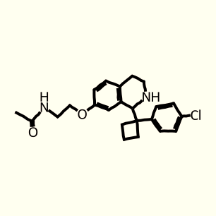 CC(=O)NCCOc1ccc2c(c1)C(C1(c3ccc(Cl)cc3)CCC1)NCC2